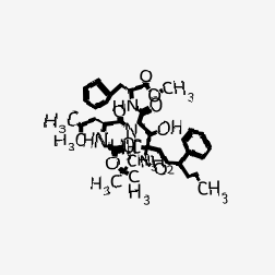 CCCC(C(=O)CC(C)(N)C(O)[C@H](NC(=O)[C@H](CC(C)C)NC(=O)OC(C)(C)C)C(=O)N[C@@H](Cc1ccccc1)C(=O)OC)c1ccccc1